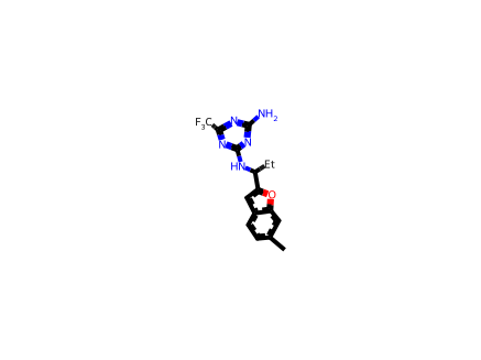 CCC(Nc1nc(N)nc(C(F)(F)F)n1)c1cc2ccc(C)cc2o1